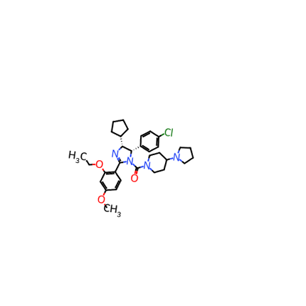 CCOc1cc(OC)ccc1C1=N[C@H](C2CCCC2)[C@H](c2ccc(Cl)cc2)N1C(=O)N1CCC(N2CCCC2)CC1